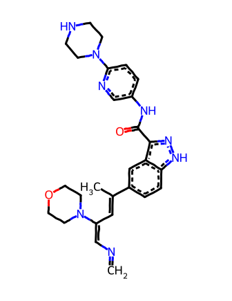 C=N/C=C(\C=C(/C)c1ccc2[nH]nc(C(=O)Nc3ccc(N4CCNCC4)nc3)c2c1)N1CCOCC1